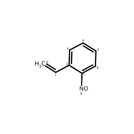 C=Cc1ccccc1N=O